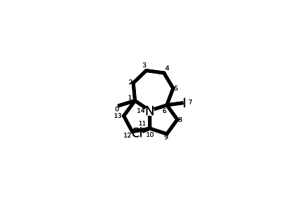 CC12CCCCC3(I)CCC(Cl)(CC1)N23